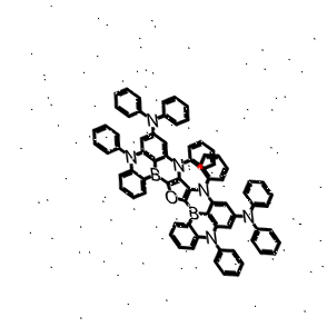 c1ccc(N(c2ccccc2)c2cc3c4c(c2)N(c2ccccc2)c2c(oc5c2N(c2ccccc2)c2cc(N(c6ccccc6)c6ccccc6)cc6c2B5c2ccccc2N6c2ccccc2)B4c2ccccc2N3c2ccccc2)cc1